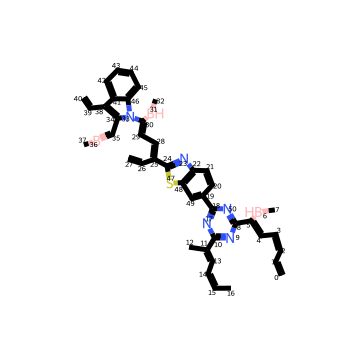 C=C/C=C\C=C(/BC)c1nc(/C(C)=C/C=C\C)nc(-c2ccc3nc(/C(C=C)=C/C=C(\BC)n4c(/C=B\C)c(C=C)c5ccccc54)sc3c2)n1